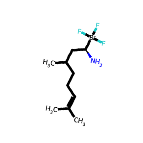 CC(C)=CCCC(C)C[C@H](N)[B-](F)(F)F